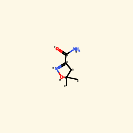 CC1(C)CC(C(N)=O)=NO1